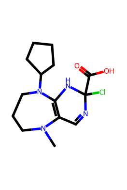 CN1CCCN(C2CCCC2)C2=C1C=NC(Cl)(C(=O)O)N2